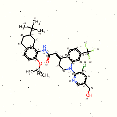 C[SiH](C)Oc1ccc2c(c1NC(=O)C=C1CCN(c3ncc(CO)cc3Cl)c3cc(C(F)(F)F)ccc31)CC(C(C)(C)C)CC2